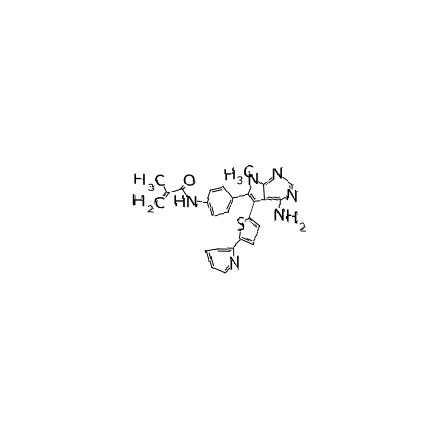 C=C(C)C(=O)Nc1ccc(-c2c(-c3ccc(-c4ccccn4)s3)c3c(N)ncnc3n2C)cc1